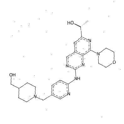 C[C@@H](O)c1cc2cnc(Nc3ccc(CN4CCC(CO)CC4)cn3)nc2c(N2CCOCC2)n1